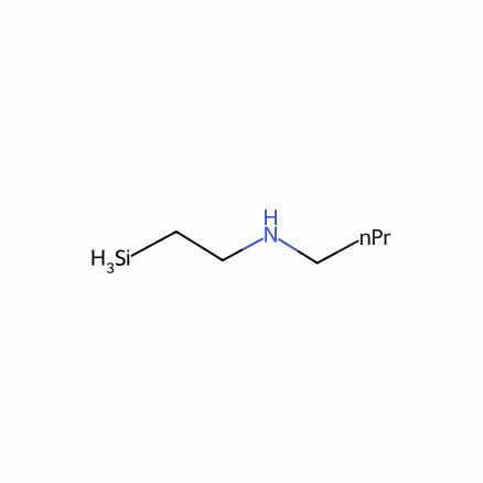 CCCCNCC[SiH3]